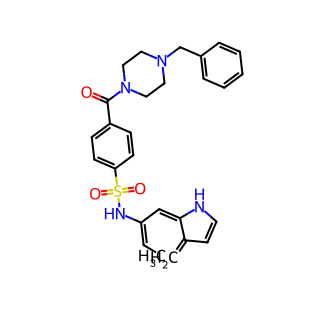 C=c1cc[nH]/c1=C/C(=C\C)NS(=O)(=O)c1ccc(C(=O)N2CCN(Cc3ccccc3)CC2)cc1